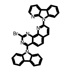 Brc1nc(-n2c3ccccc3c3ccccc32)c2ccc3ccc(-n4c5ccccc5c5cccnc54)nc3c2n1